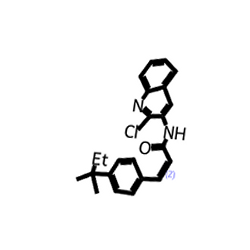 CCC(C)(C)c1ccc(/C=C\C(=O)Nc2cc3ccccc3nc2Cl)cc1